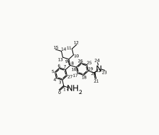 C=C(N)c1cccc(C(=C(CCC)CCC)c2ccc(C(=C)N(C)C)cc2)c1